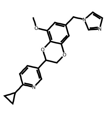 COc1cc(Cn2ccnc2)cc2c1OC(c1ccc(C3CC3)nc1)CO2